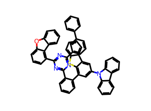 c1ccc(-c2cccc(-c3nc(-c4ccccc4-c4cc(-n5c6ccccc6c6ccccc65)cc5c4sc4ccccc45)nc(-c4cccc5oc6ccccc6c45)n3)c2)cc1